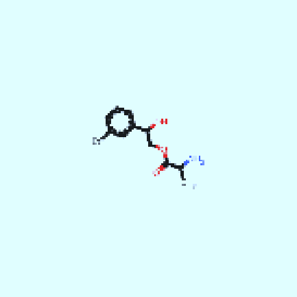 CCc1cccc(C(O)COC(=O)C(C)N)c1